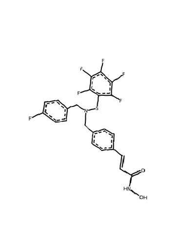 O=C(/C=C/c1ccc(CN(Cc2ccc(F)cc2)Sc2c(F)c(F)c(F)c(F)c2F)cc1)NO